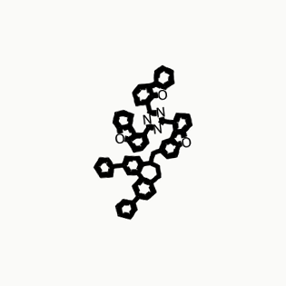 c1ccc(-c2ccc3c(c2)-c2cc(-c4ccccc4)ccc2C(Cc2ccc4oc5cccc(-c6nc(-c7cccc8c7oc7ccccc78)nc(-c7cccc8oc9ccccc9c78)n6)c5c4c2)CC3)cc1